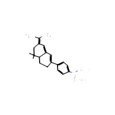 CCCCN(CCCC)c1ccc(C2=CC3=CC(=C(C#N)C#N)CC(C)(C)C3CC2)cc1